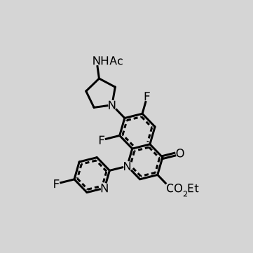 CCOC(=O)c1cn(-c2ccc(F)cn2)c2c(F)c(N3CCC(NC(C)=O)C3)c(F)cc2c1=O